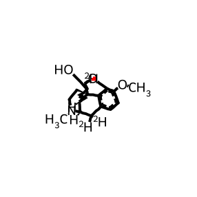 [2H]C1([2H])c2ccc(OC)c3c2[C@]24CCN(C)[C@H]1[C@@H]2C=CC(O)C4([2H])O3